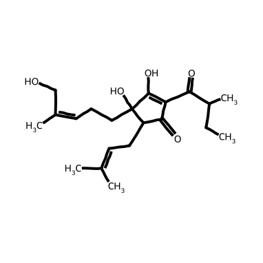 CCC(C)C(=O)C1=C(O)C(O)(CCC=C(C)CO)C(CC=C(C)C)C1=O